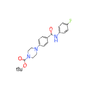 CC(C)(C)OC(=O)N1CCN(c2ccc(C(=O)Nc3ccc(F)cc3)cc2)CC1